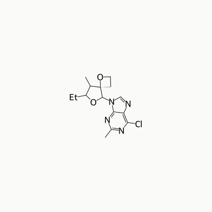 CCC1OC(n2cnc3c(Cl)nc(C)nc32)[C@@]2(CCO2)C1C